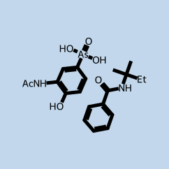 CC(=O)Nc1cc([As](=O)(O)O)ccc1O.CCC(C)(C)NC(=O)c1ccccc1